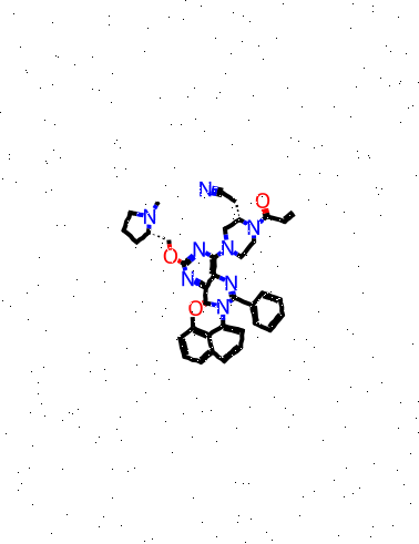 C=CC(=O)N1CCN(c2nc(OC[C@@H]3CCCN3C)nc3c(=O)n(-c4cccc5cccc(C)c45)c(-c4ccccc4)nc23)C[C@@H]1CC#N